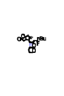 CCCCC(F)C/C(=C\C1C2CC(=O)OC2C[C@@H]1C)OC1CCCCO1